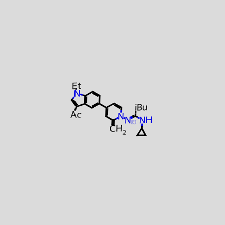 C=C1C=C(c2ccc3c(c2)c(C(C)=O)cn3CC)C=CN1/N=C(/NC1CC1)C(C)CC